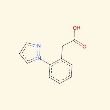 O=C(O)Cc1ccccc1-n1cccn1